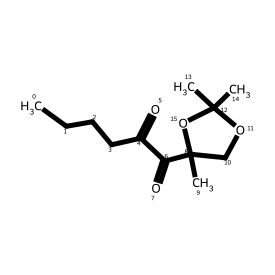 CCCCC(=O)C(=O)C1(C)COC(C)(C)O1